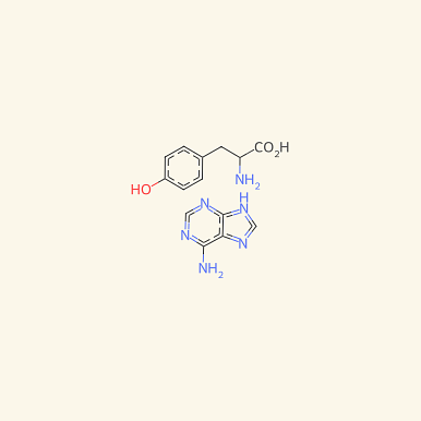 NC(Cc1ccc(O)cc1)C(=O)O.Nc1ncnc2[nH]cnc12